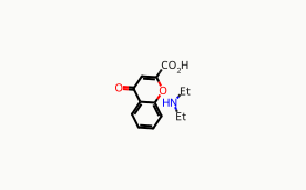 CCNCC.O=C(O)c1cc(=O)c2ccccc2o1